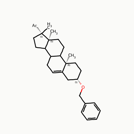 CC(=O)[C@@]1(C)CCC2C3CC=C4C[C@@H](OCc5ccccc5)CC[C@]4(C)C3CC[C@@]21C